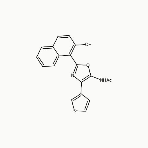 CC(=O)Nc1oc(-c2c(O)ccc3ccccc23)nc1-c1ccsc1